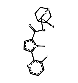 Cn1c(C(=O)N[C@H]2CN3CCC2CC3)ccc1-c1ncccc1F